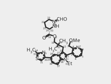 CCn1c(-c2cccnc2COC)c(CC(C)(C)COC(=O)[C@@H]2CCCN(C=O)N2)c2cc(-c3csc(C)n3)ccc21